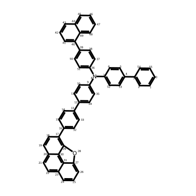 c1ccc(-c2ccc(N(c3ccc(-c4ccc(-c5ccc6ccc7cccc8oc5c6c78)cc4)cc3)c3ccc(-c4cccc5ccccc45)cc3)cc2)cc1